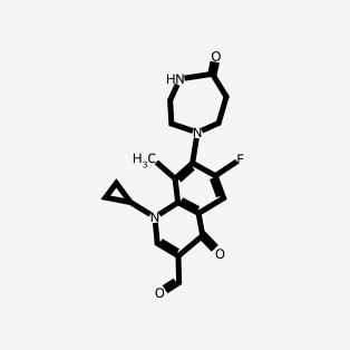 Cc1c(N2CCNC(=O)CC2)c(F)cc2c(=O)c(C=O)cn(C3CC3)c12